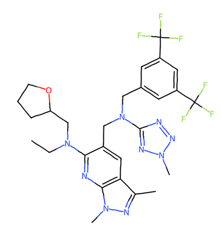 CCN(CC1CCCO1)c1nc2c(cc1CN(Cc1cc(C(F)(F)F)cc(C(F)(F)F)c1)c1nnn(C)n1)c(C)nn2C